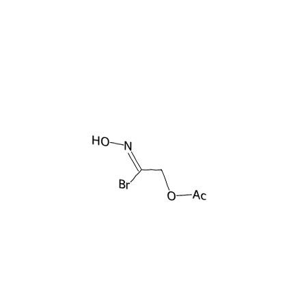 CC(=O)OCC(Br)=NO